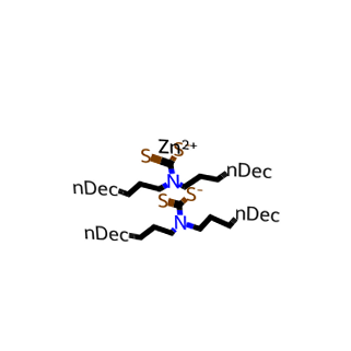 CCCCCCCCCCCCCN(CCCCCCCCCCCCC)C(=S)[S-].CCCCCCCCCCCCCN(CCCCCCCCCCCCC)C(=S)[S-].[Zn+2]